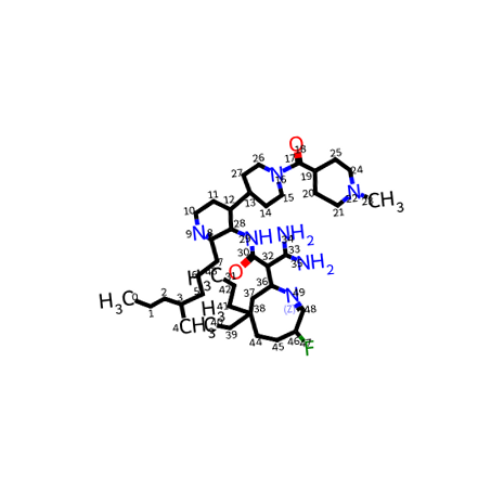 CCCC(C)CCCC1=NCCC(C2CCN(C(=O)C3CCN(C)CC3)CC2)C1NC(=O)C(C(N)N)C1CC(CC)(CCC)CCC(F)/C=N\1